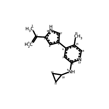 C=C(C)c1cc(-c2cc(NC3CC3)ncc2C)c[nH]1